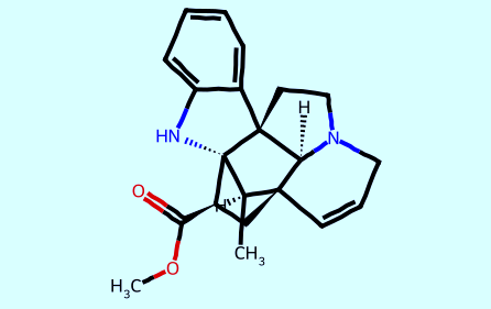 COC(=O)[C@@H]1C[C@@]23C=CCN4CC[C@@]5(c6ccccc6N[C@]15[C@@H]2C)[C@@H]43